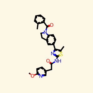 COc1ccc(CC(=O)Nc2nc(-c3ccc4c(c3)CCN4C(=O)c3ccccc3C)c(C)s2)cn1